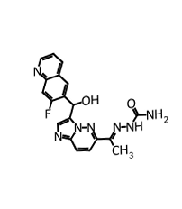 CC(=NNC(N)=O)c1ccc2ncc(C(O)c3cc4cccnc4cc3F)n2n1